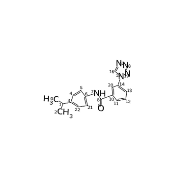 CC(C)c1ccc(NC(=O)c2cccc(-n3cnnn3)c2)cc1